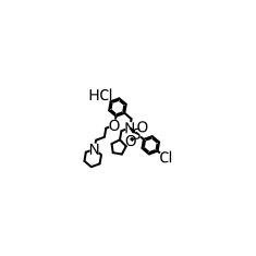 Cl.O=S(=O)(c1ccc(Cl)cc1)N(Cc1ccccc1OCCCN1CCCCC1)CC1CCCC1